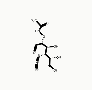 CC(=O)NO[C@@H](C=O)[C@@H](O)[C@@H](N=[N+]=[N-])[C@H](O)CO